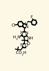 CC(C)(Cc1coc(C2(C)C(=O)Nc3nc(-c4nn(Cc5ccccc5F)c5ccc(Cl)cc45)nc(N)c32)n1)C(=O)O